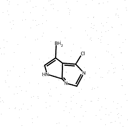 Bc1c[nH]c2ncnc(Cl)c12